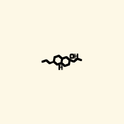 CCC[C@H]1CCC2C[C@@](O)(CCC)CC[C@H]2C1